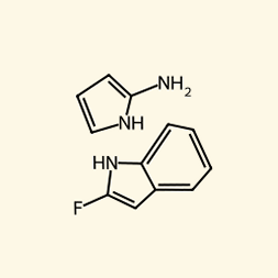 Fc1cc2ccccc2[nH]1.Nc1ccc[nH]1